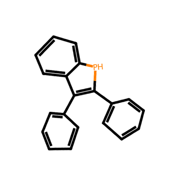 c1ccc(-c2[pH]c3ccccc3c2-c2ccccc2)cc1